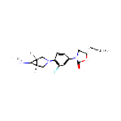 CC(=O)NC[C@H]1CN(c2ccc(N3C[C@@H]4C(NC=O)[C@@H]4C3)c(F)c2)C(=O)O1